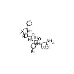 CCc1ccc(C(CC)(NC(=O)c2cnn3c2N[C@@H](c2ccccc2)CC3(C)C)C(=O)N[C@@H](CC(N)=O)C(=O)O)cc1